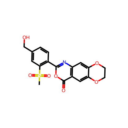 CS(=O)(=O)c1cc(CO)ccc1-c1nc2cc3c(cc2c(=O)o1)OCCO3